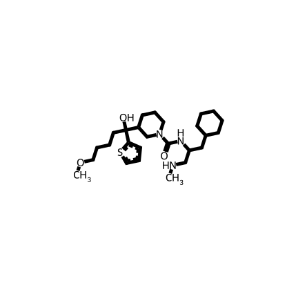 CNCC(CC1CCCCC1)NC(=O)N1CCCC(C(O)(CCCCOC)c2cccs2)C1